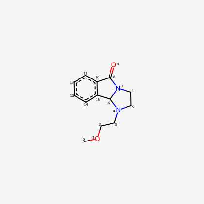 COCCN1CCN2C(=O)c3ccccc3C12